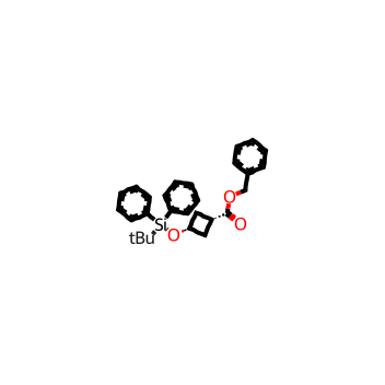 CC(C)(C)[Si](O[C@H]1C[C@@H](C(=O)OCc2ccccc2)C1)(c1ccccc1)c1ccccc1